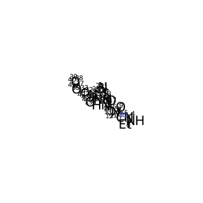 CCNC(C)(C)/C=C(\C#N)C(=O)N1CCC[C@@H](NC(=O)c2sc3nccc4c3c2NC(=O)N4c2ccc(Oc3ccccc3)cc2C)C1